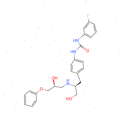 O=C(Nc1ccc(C[C@@H](CO)NC[C@H](O)COc2ccccc2)cc1)Nc1cccc(F)c1